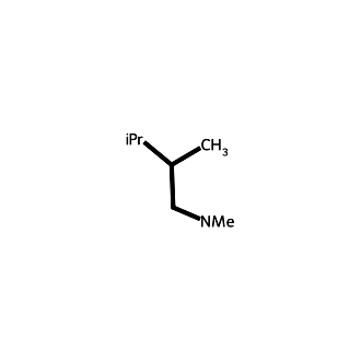 CNCC(C)C(C)C